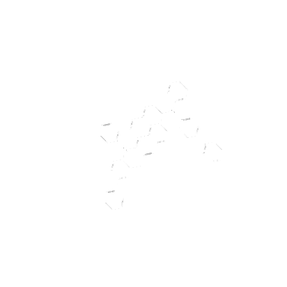 Cc1cc(-c2ccccc2)ccc1N(c1ccccc1)c1ccc2ccc3c(N(c4ccccc4)c4ccc(-c5ccccc5)cc4C)ccc4ccc1c2c43